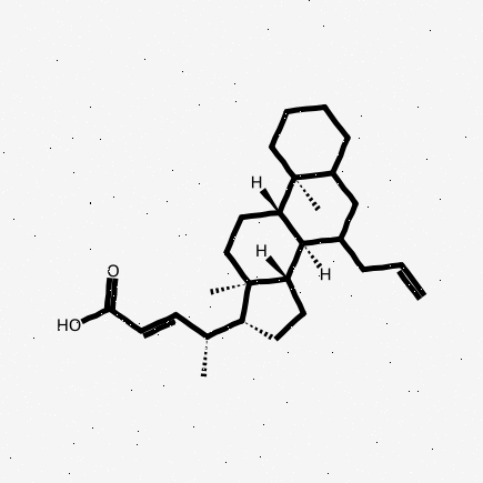 C=CCC1CC2CCCC[C@]2(C)[C@H]2CC[C@]3(C)[C@@H]([C@H](C)C=CC(=O)O)CC[C@H]3[C@H]12